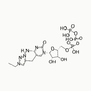 CCn1cc(Cc2cn([C@@H]3O[C@H](COP(=O)(O)OP(=O)(O)OP(=O)(O)O)C(O)[C@@H]3O)c(=O)nc2N)nn1